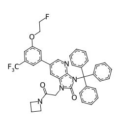 O=C(Cn1c(=O)n(C(c2ccccc2)(c2ccccc2)c2ccccc2)c2ncc(-c3cc(OCCF)cc(C(F)(F)F)c3)cc21)N1CCC1